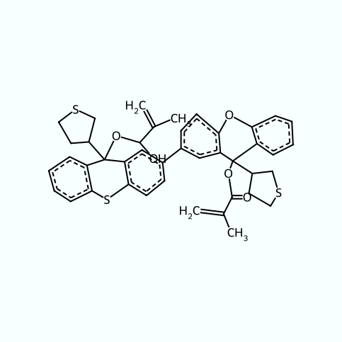 C=C(C)C(=O)OC1(C2CCSC2)c2ccccc2Oc2ccc(-c3ccc4c(c3)C(OC(O)C(=C)C)(C3CCSC3)c3ccccc3S4)cc21